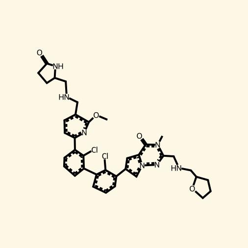 COc1nc(-c2cccc(-c3cccc(-c4cc5c(=O)n(C)c(CNCC6CCCO6)nn5c4)c3Cl)c2Cl)ccc1CNCC1CCC(=O)N1